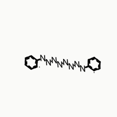 [c]1ccccc1N=NN=NN=NN=Nc1[c]cccc1